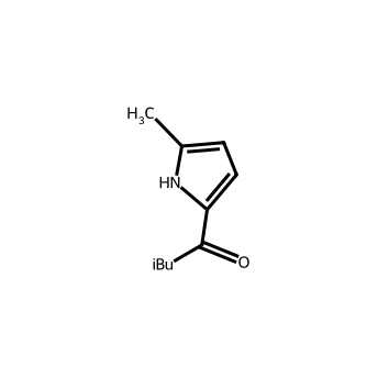 CCC(C)C(=O)c1ccc(C)[nH]1